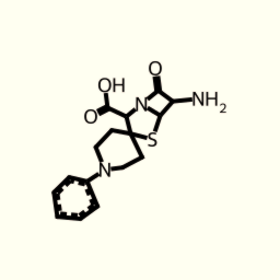 NC1C(=O)N2C1SC1(CCN(c3ccccc3)CC1)C2C(=O)O